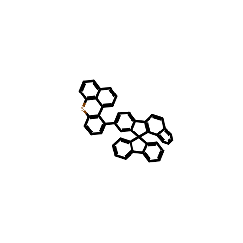 c1ccc2c(c1)-c1ccccc1C21c2cc(-c3cccc4c3-c3cccc5cccc(c35)S4)ccc2-c2ccc3ccccc3c21